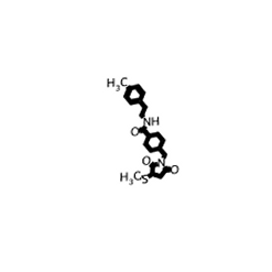 CSC1CC(=O)N(CC2CCC(C(=O)NCCc3ccc(C)cc3)CC2)C1=O